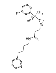 CCC[C@](C)(c1cccc(F)c1)C1C[C@@H]1CCC(=S)NCCCCc1cccnc1